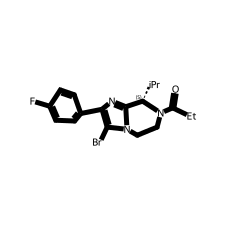 CCC(=O)N1CCn2c(nc(-c3ccc(F)cc3)c2Br)[C@@H]1C(C)C